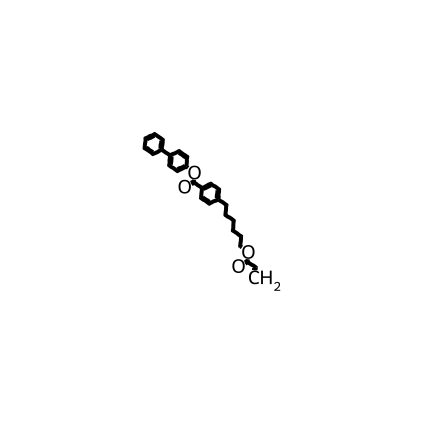 C=CC(=O)OCCCCCCc1ccc(C(=O)Oc2ccc(-c3ccccc3)cc2)cc1